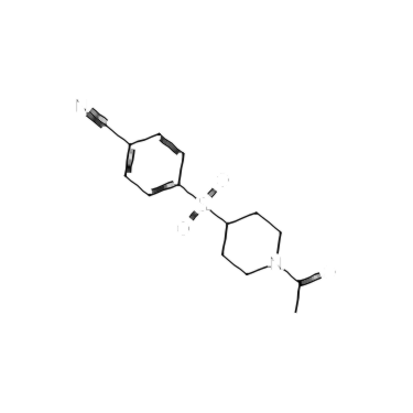 CC(=O)N1CCC(S(=O)(=O)c2ccc(C#N)cc2)CC1